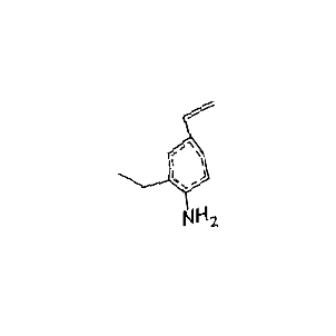 C=Cc1ccc(N)c(CC)c1